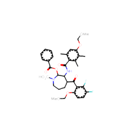 COCOc1cc(C)c(C(=O)NC2C(C(=O)c3c(OCOC)ccc(F)c3F)CCCN(C(=O)O)C2OC(=O)c2ccccc2)c(C)c1C